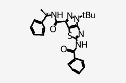 C[C@@H](NC(=O)c1nn(C(C)(C)C)c2nc(NC(=O)c3ccccc3)sc12)c1ccccc1